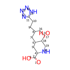 O.O=C(O)C1CC2CC(CCc3nnn[nH]3)CCC2CN1